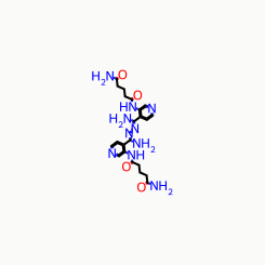 NC(=O)CCCC(=O)Nc1cnccc1/C(N)=N/N=C(\N)c1ccncc1NC(=O)CCCC(N)=O